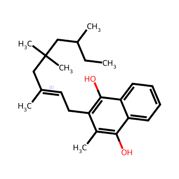 CCC(C)CC(C)(C)C/C(C)=C/Cc1c(C)c(O)c2ccccc2c1O